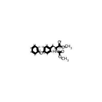 COC(=O)N[C@@H](Cc1ccc(Oc2ccccc2)cc1)C(=O)OC